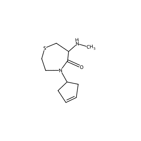 CNC1CSCCN(C2CC=CC2)C1=O